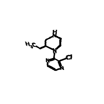 CCC1CNCCN1c1nccnc1Cl